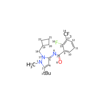 Cn1c(C(C)(C)C)cc(=NC(=O)c2cccc(C(F)(F)F)c2F)n1CC1CCC1